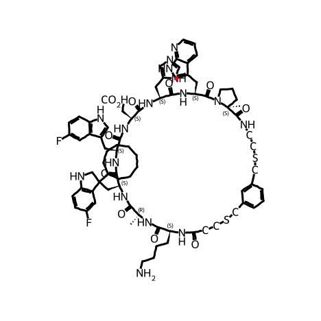 C[C@H]1NC(=O)[C@H](CCCCN)NC(=O)CCSCc2cccc(c2)CSCCNC(=O)[C@]2(C)CCCN2C(=O)[C@H](Cc2c[nH]c3ncccc23)NC(=O)[C@H](Cc2cnc[nH]2)NC(=O)[C@H](CC(=O)O)NC(=O)[C@H](Cc2c[nH]c3ccc(F)cc23)NC(=O)[C@H](CC2(C3CCCCCCCC3)CNc3ccc(F)cc32)NC1=O